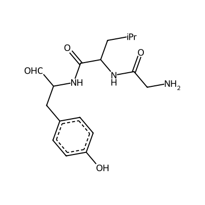 CC(C)CC(NC(=O)CN)C(=O)NC(C=O)Cc1ccc(O)cc1